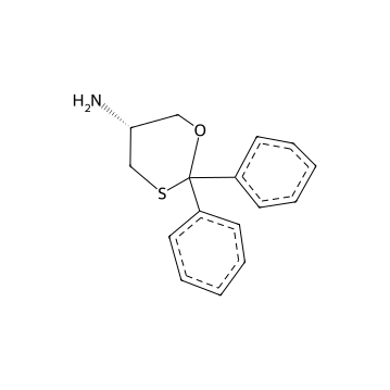 N[C@@H]1COC(c2ccccc2)(c2ccccc2)SC1